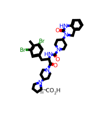 Cc1c(Br)cc(CC(NC(=O)N2CCC(N3Cc4ccccc4NC3=O)CC2)C(=O)N2CCC(N3CCC[C@H]3C(=O)O)CC2)cc1Br